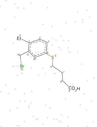 CCc1ccc(SCCCC(=O)O)cc1CBr